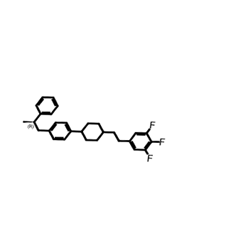 C[C@H](Cc1ccc(C2CCC(CCc3cc(F)c(F)c(F)c3)CC2)cc1)c1ccccc1